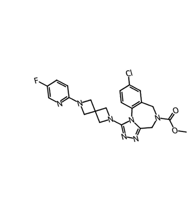 COC(=O)N1Cc2cc(Cl)ccc2-n2c(nnc2N2CC3(CN(c4ccc(F)cn4)C3)C2)C1